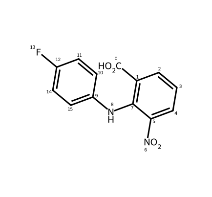 O=C(O)c1cccc([N+](=O)[O-])c1Nc1ccc(F)cc1